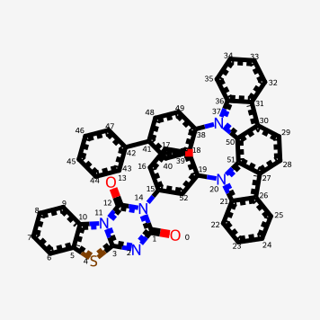 O=c1nc2sc3ccccc3n2c(=O)n1-c1cccc(-n2c3ccccc3c3ccc4c5ccccc5n(-c5ccc(-c6ccccc6)cc5)c4c32)c1